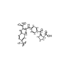 O=C(O)c1nc2ccc(C(F)(F)F)cc2nc1Nc1ccc(C(=O)N2CCCC2C(=O)O)cc1